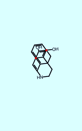 OC1=CCC23CCNC(=Cc4cccc(O)c42)C3=C1